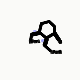 CCCCC/C=C1/CCCC(=O)/C1=C\CCCCC